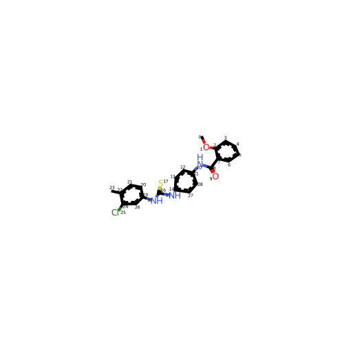 COc1ccccc1C(=O)Nc1ccc(NC(=S)Nc2ccc(C)c(Cl)c2)cc1